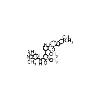 CCc1c(-c2cc(Nc3cc4c(C)nn(C)c4cn3)c(=O)n(C)c2)ccnc1N1CCn2c(cc3c2CC(C)(C)C3)C1=O